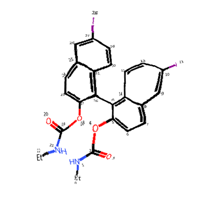 [CH2]CNC(=O)Oc1ccc2cc(I)ccc2c1-c1c(OC(=O)NC[CH2])ccc2cc(I)ccc12